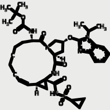 CC(C)n1c(O[C@@H]2C[C@H]3C(=O)N[C@]4(C(=O)NS(=O)(=O)C5CC5)C[C@H]4/C=C\CCCCC[C@H](NC(=O)OC(C)(C)C)C(=O)N3C2)nc2ccccc21